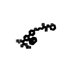 C=C(C(=O)OC(C)(C)C)c1ccc(-c2ccc(OCCCC(=O)NOC3CCCCO3)cc2)c(C23CC4CC(CC(C4)C2)C3)c1